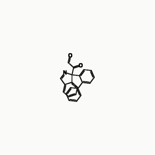 O=CC(=O)C1(c2ccccc2-c2ccccc2)N=Cc2ccccc21